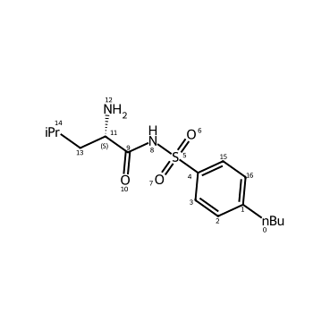 CCCCc1ccc(S(=O)(=O)NC(=O)[C@@H](N)CC(C)C)cc1